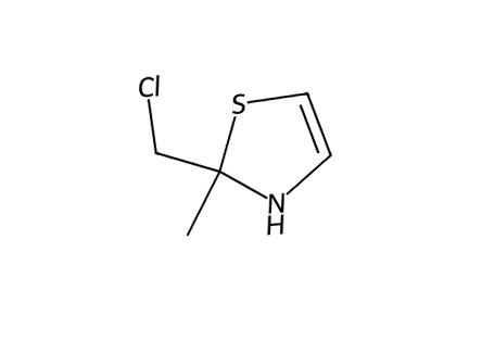 CC1(CCl)NC=CS1